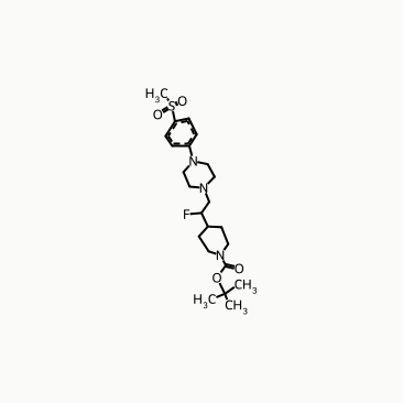 CC(C)(C)OC(=O)N1CCC(C(F)CN2CCN(c3ccc(S(C)(=O)=O)cc3)CC2)CC1